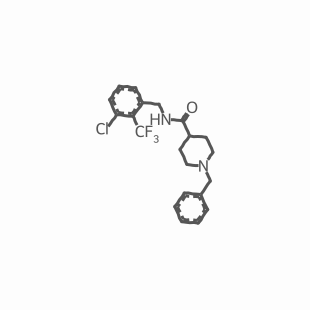 O=C(NCc1cccc(Cl)c1C(F)(F)F)C1CCN(Cc2ccccc2)CC1